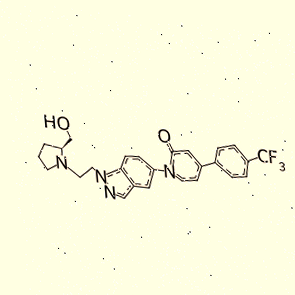 O=c1cc(-c2ccc(C(F)(F)F)cc2)ccn1-c1ccc2c(cnn2CCN2CCC[C@H]2CO)c1